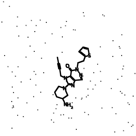 CC#CCn1c(N2CCCC(N)C2)nc2cnn(CCc3cccs3)c(=O)c21